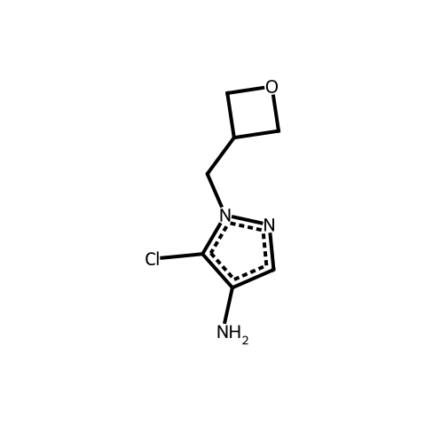 Nc1cnn(CC2COC2)c1Cl